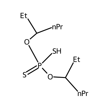 CCCC(CC)OP(=S)(S)OC(CC)CCC